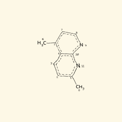 Cc1ccc2c(C)ccnc2n1